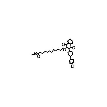 CCOC(=O)CCCCCCCCCCCOC1=C(C2CCC(c3ccc(Cl)cc3)CC2)C(=O)c2ccccc2C1=O